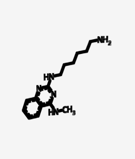 CNc1nc(NCCCCCCN)nc2ccccc12